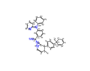 CC1C=CN2C(C1c1ccc(C3(C)C=CC=CC3)cc1)N2C(=N)c1cccc(-n2c3ccccc3c3cccnc32)c1